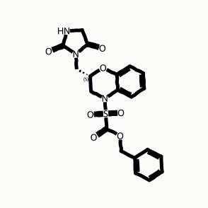 O=C1CNC(=O)N1C[C@H]1CN(S(=O)(=O)C(=O)OCc2ccccc2)c2ccccc2O1